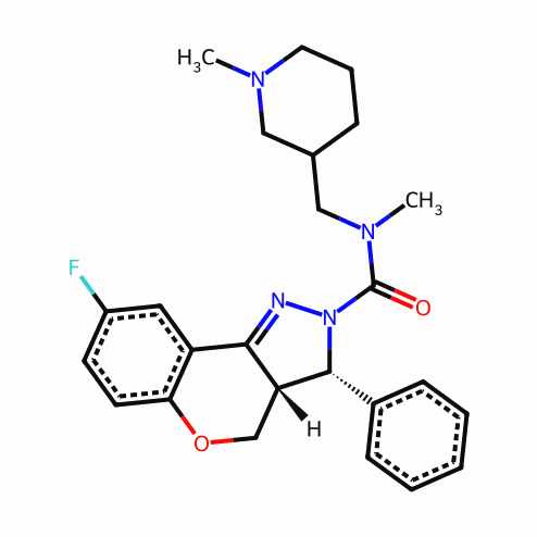 CN1CCCC(CN(C)C(=O)N2N=C3c4cc(F)ccc4OC[C@H]3[C@H]2c2ccccc2)C1